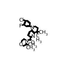 CC1(C)CCN(c2ccc(Cl)c(F)c2)c2ccc(C(=O)N3CCOCC3(C)C)nc21